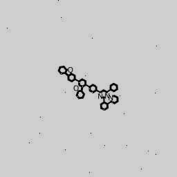 c1ccc(-c2cc(-c3ccc(-c4ccc(-c5ccc6c(c5)oc5ccccc56)c5oc6ccccc6c45)cc3)nc(-c3ccccc3-c3ccccn3)n2)cc1